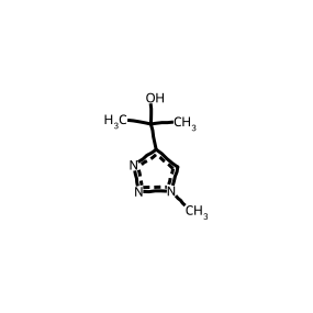 Cn1cc(C(C)(C)O)nn1